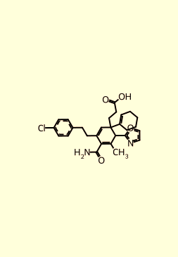 CC1=C(C(N)=O)C(CCc2ccc(Cl)cc2)=CC(CCC(=O)O)(C2=CCCCC2)C1c1ncco1